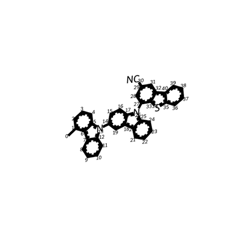 Cc1cccc2c1c1ccccc1n2-c1ccc2c(c1)c1ccccc1n2-c1cc(C#N)cc2c1sc1ccccc12